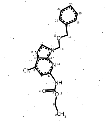 CCOC(=O)Nc1cc(Cl)c2ncn(COCc3ccccc3)c2n1